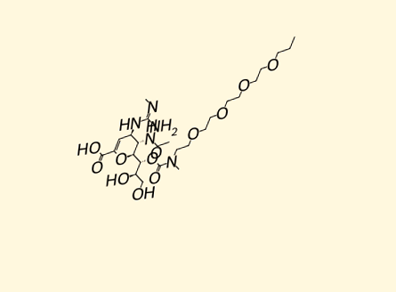 CCCOCCOCCOCCOCCN(C)C(=O)O[C@@H]([C@H]1OC(C(=O)O)=C[C@@H](N/C(N)=N\C)[C@@H]1NC(C)=O)[C@H](O)CO